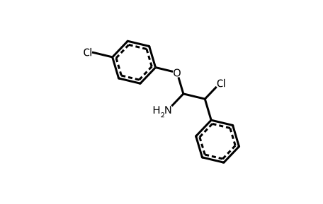 NC(Oc1ccc(Cl)cc1)C(Cl)c1ccccc1